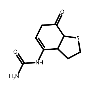 NC(=O)NC1=CCC(=O)C2SCCC12